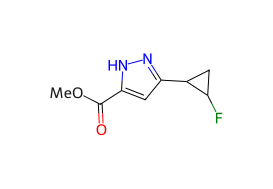 COC(=O)c1cc(C2CC2F)n[nH]1